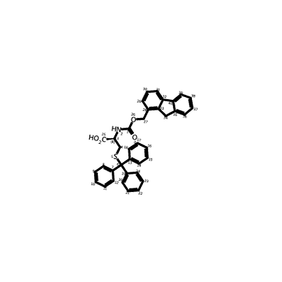 O=C(N[C@@H](CSC(c1ccccc1)(c1ccccc1)c1ccccc1)C(=O)O)OCc1cccc2c1Cc1ccccc1-2